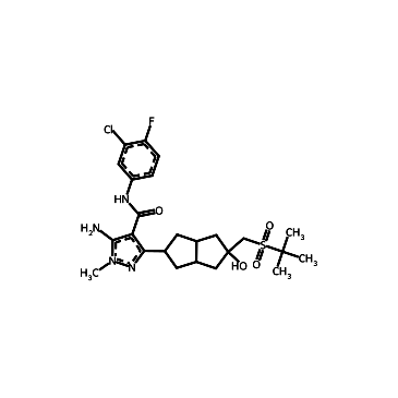 Cn1nc(C2CC3CC(O)(CS(=O)(=O)C(C)(C)C)CC3C2)c(C(=O)Nc2ccc(F)c(Cl)c2)c1N